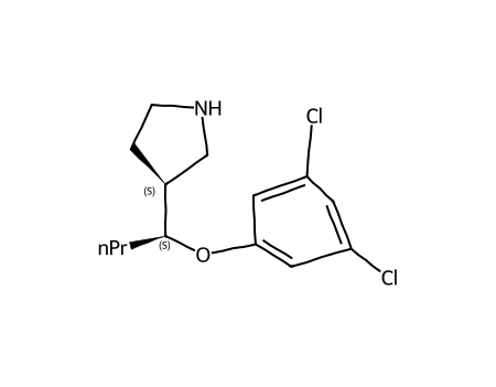 CCC[C@H](Oc1cc(Cl)cc(Cl)c1)[C@H]1CCNC1